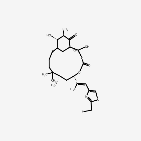 C/C(=C\c1csc(CF)n1)[C@@H]1C[C@H](C)C(C)(C)CCC[C@@H]2C[C@@](C)(C(=O)[C@H](C)[C@H]2O)C(O)CC(=O)O1